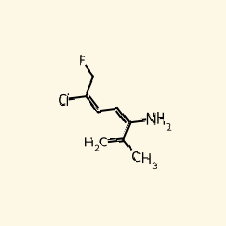 C=C(C)/C(N)=C\C=C(\Cl)CF